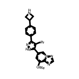 COc1cc(-c2[nH]nc(-c3ccc(C4CNC4)cc3)c2C(C)C)cn2ncnc12